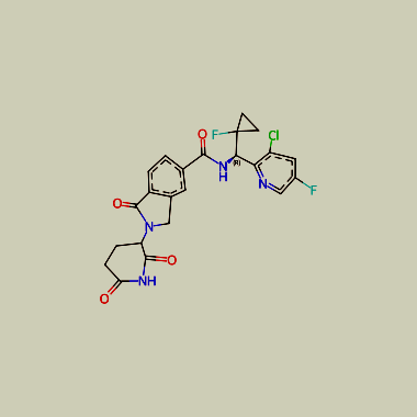 O=C1CCC(N2Cc3cc(C(=O)N[C@H](c4ncc(F)cc4Cl)C4(F)CC4)ccc3C2=O)C(=O)N1